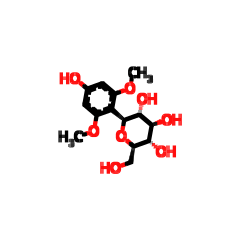 COc1cc(O)cc(OC)c1[C@@H]1O[C@H](CO)[C@@H](O)[C@H](O)[C@H]1O